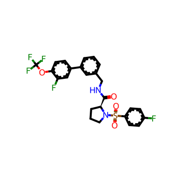 O=C(NCc1cccc(-c2ccc(OC(F)(F)F)c(F)c2)c1)[C@@H]1CCCN1S(=O)(=O)c1ccc(F)cc1